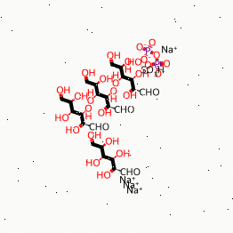 O=C[C@H](O)[C@@H](O)[C@H](O)[C@H](O)CO.O=C[C@H](O)[C@@H](O)[C@H](O)[C@H](O)CO.O=C[C@H](O)[C@@H](O)[C@H](O)[C@H](O)CO.O=C[C@H](O)[C@@H](O)[C@H](O)[C@H](O)CO.O=P([O-])([O-])OP(=O)([O-])[O-].O=S(=O)(O)O.[Na+].[Na+].[Na+].[Na+]